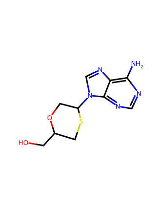 Nc1ncnc2c1ncn2C1COC(CO)CS1